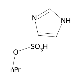 CCCOS(=O)(=O)O.c1c[nH]cn1